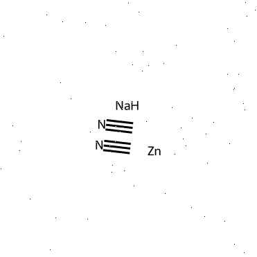 C#N.C#N.[NaH].[Zn]